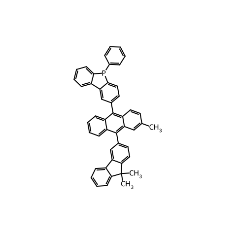 Cc1ccc2c(-c3ccc4c(c3)c3ccccc3p4-c3ccccc3)c3ccccc3c(-c3ccc4c(c3)-c3ccccc3C4(C)C)c2c1